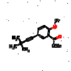 COC(=O)c1cc(C#C[Si](C)(C)C)ccc1OC(C)C